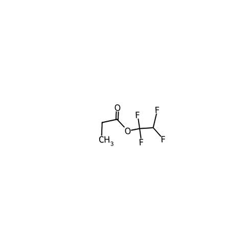 CCC(=O)OC(F)(F)C(F)F